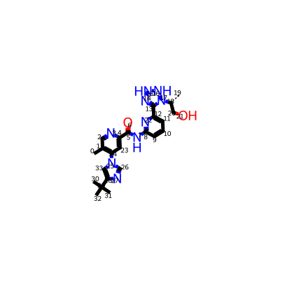 Cc1cnc(C(=O)Nc2cccc(C3=NNNN3[C@H](C)CO)n2)cc1-n1cnc(C(C)(C)C)c1